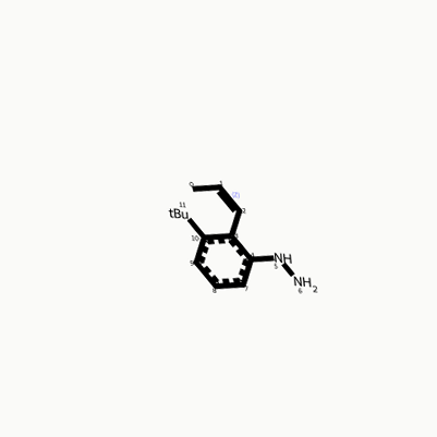 C/C=C\c1c(NN)cccc1C(C)(C)C